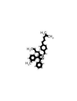 C=C(C)CCCC1CCC(Cn2nc(-c3ccccc3)c(-c3cccc(C)c3)c2CCCC)CC1